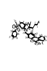 CCCCc1nc2ccc(N(C)S(=O)(=O)c3ccccc3)cc2n1Cc1ccc(-c2ccccc2C(=O)O)cc1